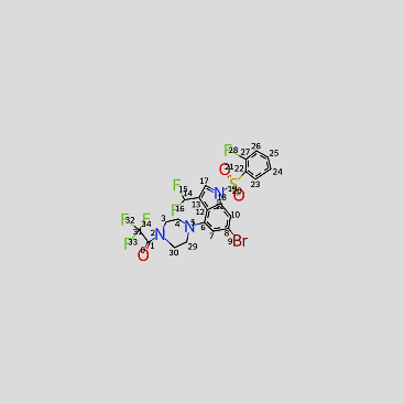 O=C(N1CCN(c2cc(Br)cc3c2c(C(F)F)cn3S(=O)(=O)c2ccccc2F)CC1)C(F)(F)F